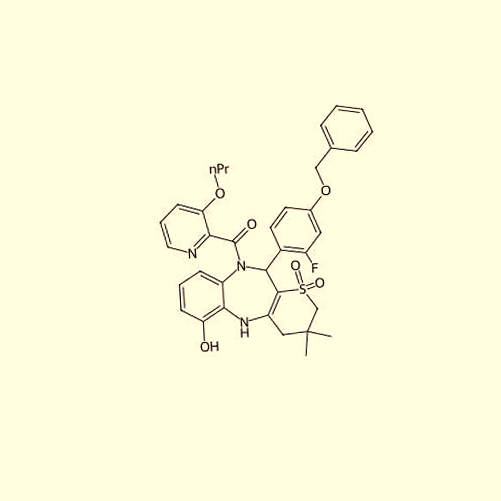 CCCOc1cccnc1C(=O)N1c2cccc(O)c2NC2=C(C1c1ccc(OCc3ccccc3)cc1F)S(=O)(=O)CC(C)(C)C2